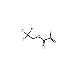 C=C(C)C(=O)OCC(F)(F)F